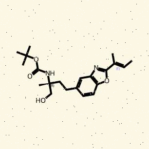 C/C=C(\C)c1nc2cc(CC[C@](C)(CO)NC(=O)OC(C)(C)C)ccc2o1